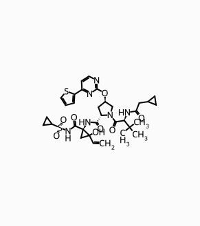 C=CC1(O)C[C@]1(NC(=O)[C@@H]1C[C@@H](Oc2nccc(-c3cccs3)n2)CN1C(=O)[C@@H](NC(=O)CC1CC1)C(C)(C)C)C(=O)NS(=O)(=O)C1CC1